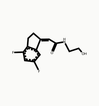 O=C(/C=C1/CCc2c(F)cc(F)cc21)NCCO